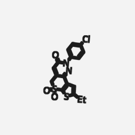 CCc1cc2c(s1)S(=O)(=O)Cc1cc(=O)n(-c3ccc(Cl)cc3)nc1-2